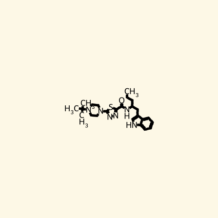 CCCC(Cc1c[nH]c2ccccc12)NC(=O)c1nnc(N2CCN(C(C)(C)C)CC2)s1